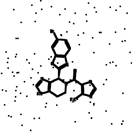 O=C(c1ocnc1C(F)(F)F)N1CCc2[nH]cnc2[C@H]1c1nc2ccc(Br)cc2o1